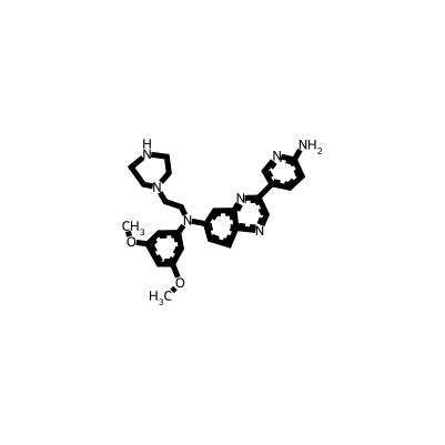 COc1cc(OC)cc(N(CCN2CCNCC2)c2ccc3ncc(-c4ccc(N)nc4)nc3c2)c1